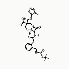 Cn1nnnc1SCC1(C(=O)O)CS[C@@H]2C(NC(=O)Cc3ccccc3CNC(=O)OC(C)(C)C)C(=O)N2C1